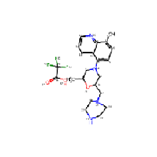 CC1CN(c2ccc(C#N)c3ncccc23)CC(CN2CCNCC2)O1.O=C(O)C(F)(F)F